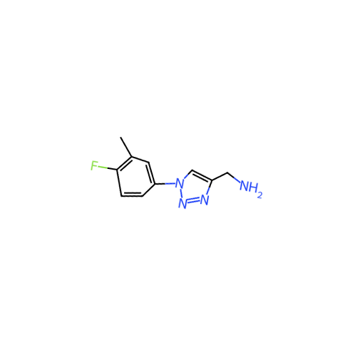 Cc1cc(-n2cc(CN)nn2)ccc1F